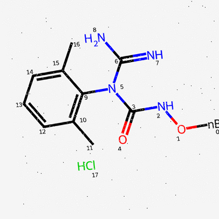 CCCCONC(=O)N(C(=N)N)c1c(C)cccc1C.Cl